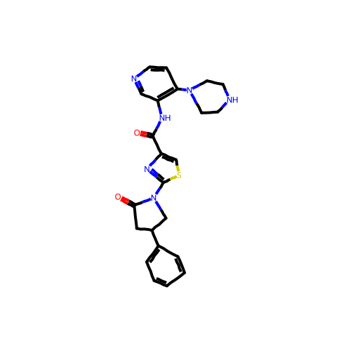 O=C(Nc1cnccc1N1CCNCC1)c1csc(N2CC(c3ccccc3)CC2=O)n1